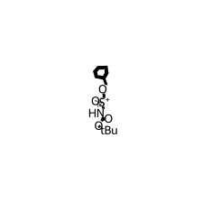 CC(C)(C)OC(=O)NC[S@+]([O-])COCc1ccccc1